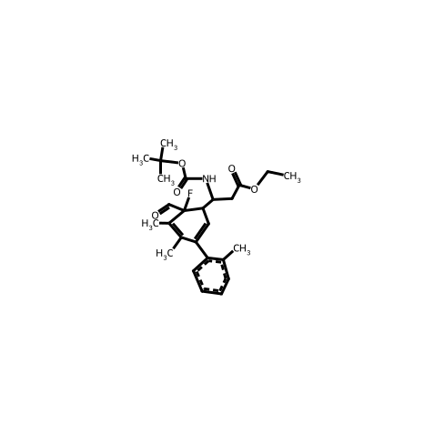 CCOC(=O)CC(NC(=O)OC(C)(C)C)C1C=C(c2ccccc2C)C(C)=C(C)C1(F)C=O